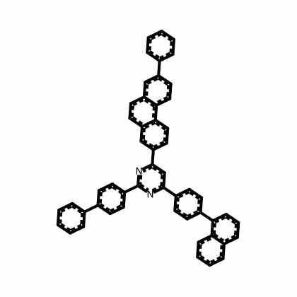 c1ccc(-c2ccc(-c3nc(-c4ccc(-c5cccc6ccccc56)cc4)cc(-c4ccc5c(ccc6cc(-c7ccccc7)ccc65)c4)n3)cc2)cc1